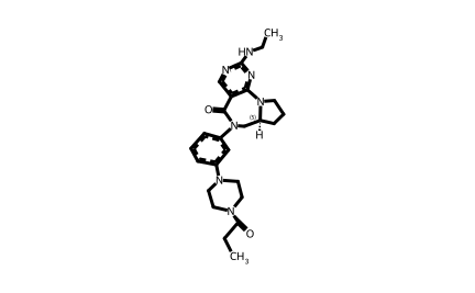 CCNc1ncc2c(n1)N1CCC[C@H]1CN(c1cccc(N3CCN(C(=O)CC)CC3)c1)C2=O